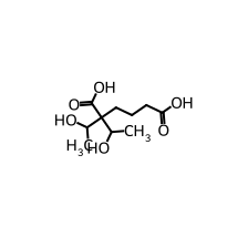 CC(O)C(CCCC(=O)O)(C(=O)O)C(C)O